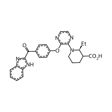 CC[C@H]1C(C(=O)O)CCCN1c1nccnc1Oc1ccc(C(=O)c2nc3ccccc3[nH]2)cc1